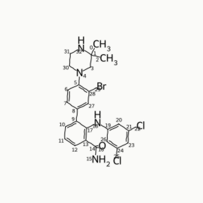 CC1(C)CN(c2ccc(-c3cccc(C(N)=O)c3Nc3cc(Cl)cc(Cl)c3)cc2Br)CCN1